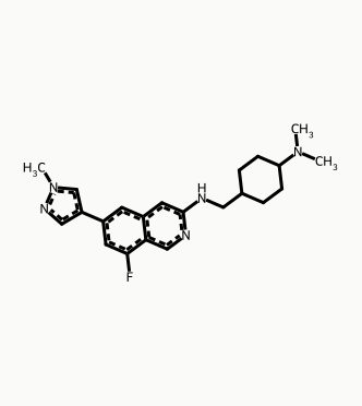 CN(C)C1CCC(CNc2cc3cc(-c4cnn(C)c4)cc(F)c3cn2)CC1